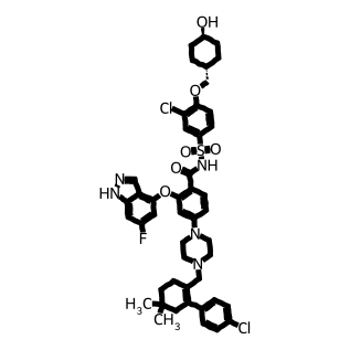 CC1(C)CCC(CN2CCN(c3ccc(C(=O)NS(=O)(=O)c4ccc(OC[C@H]5CC[C@H](O)CC5)c(Cl)c4)c(Oc4cc(F)cc5[nH]ncc45)c3)CC2)=C(c2ccc(Cl)cc2)C1